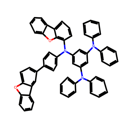 c1ccc(N(c2ccccc2)c2cc(N(c3ccccc3)c3ccccc3)cc(N(c3ccc(-c4ccc5oc6ccccc6c5c4)cc3)c3cccc4c3oc3ccccc34)c2)cc1